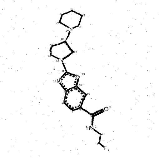 O=C(NCCF)c1ccc2nc(N3CC[C@@H](N4CCCCC4)C3)sc2c1